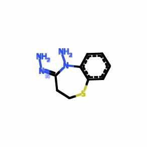 N/N=C1/CCSc2ccccc2N1N